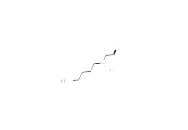 C=CCN(O)CCCCC